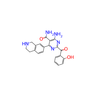 NC(=O)c1c(N)nc(C(=O)c2ccccc2O)nc1-c1ccc2c(c1)CNCC2